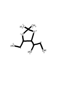 CC1(C)OC(CO)C(C(O)CO)O1